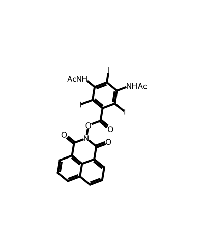 CC(=O)Nc1c(I)c(NC(C)=O)c(I)c(C(=O)ON2C(=O)c3cccc4cccc(c34)C2=O)c1I